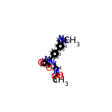 COC(=O)N1CC(CN2C(=O)C3(CCOC3)N=C2c2ccc(-c3ccc4c(cnn4C)c3)cc2)C1